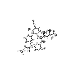 N#Cc1cc(N/C(=C\C(=N)C(F)(F)F)C(=O)Nc2cc(C(NCC3CC3)c3ccccc3)ccc2F)ccc1F